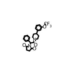 O=C(C(c1ccccc1)N1C(=O)CCC1=O)N1CCC(c2cccc(OC(F)(F)F)c2)CC1